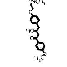 COc1ccc(C(=O)CC(O)Cc2ccc(OCCN(C)C)cc2)cc1